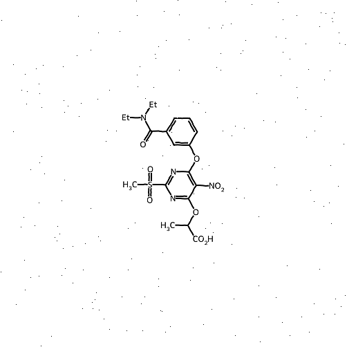 CCN(CC)C(=O)c1cccc(Oc2nc(S(C)(=O)=O)nc(OC(C)C(=O)O)c2[N+](=O)[O-])c1